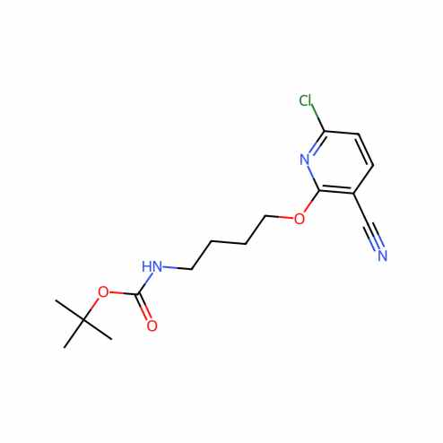 CC(C)(C)OC(=O)NCCCCOc1nc(Cl)ccc1C#N